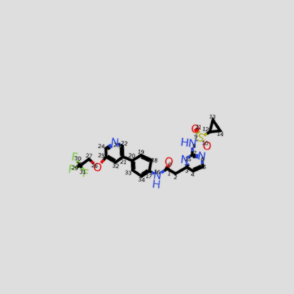 O=C(Cc1ccnc(NS(=O)(=O)C2CC2)n1)Nc1ccc(-c2cncc(OCC(F)(F)F)c2)cc1